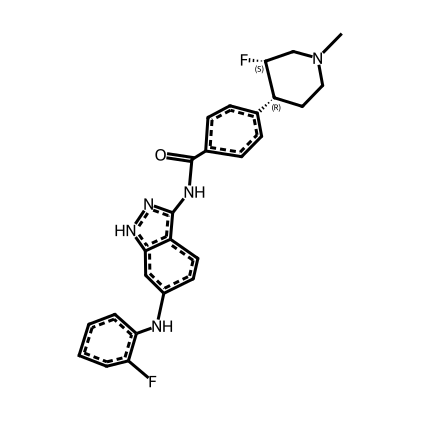 CN1CC[C@H](c2ccc(C(=O)Nc3n[nH]c4cc(Nc5ccccc5F)ccc34)cc2)[C@H](F)C1